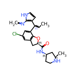 C=Nc1[nH]ccc1/C(=C\C)c1cc(Cl)cc2c1O[C@@H](C(=O)N[C@@H]1CCN[C@H](C)C1)C2